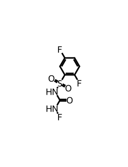 O=C(NF)NS(=O)(=O)c1cc(F)ccc1F